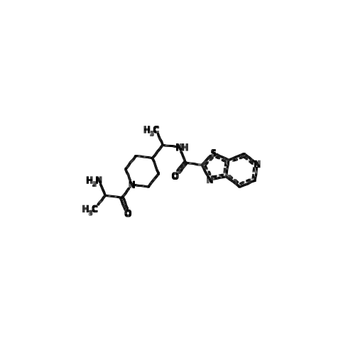 CC(N)C(=O)N1CCC(C(C)NC(=O)c2nc3ccncc3s2)CC1